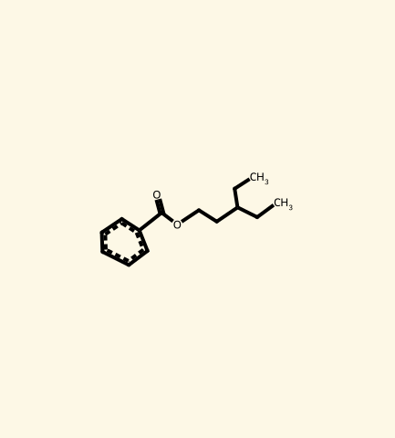 CCC(CC)CCOC(=O)c1ccccc1